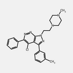 Cc1cccc(-c2nn(CCN3CCN(C)CC3)c3nnc(-c4ccccc4)c(Cl)c23)c1